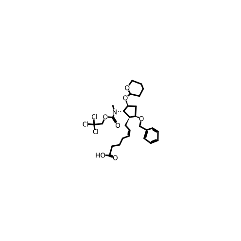 CN(C(=O)OCC(Cl)(Cl)Cl)[C@H]1[C@H](C/C=C\CCCC(=O)O)[C@H](OCc2ccccc2)C[C@@H]1OC1CCCCO1